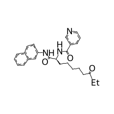 CCC(=O)CCCCC[C@H](NC(=O)c1cccnc1)C(=O)Nc1ccc2ccccc2c1